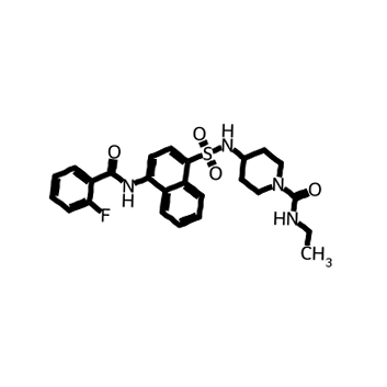 CCNC(=O)N1CCC(NS(=O)(=O)c2ccc(NC(=O)c3ccccc3F)c3ccccc23)CC1